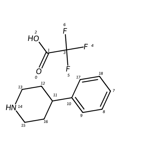 O=C(O)C(F)(F)F.c1ccc(C2CCNCC2)cc1